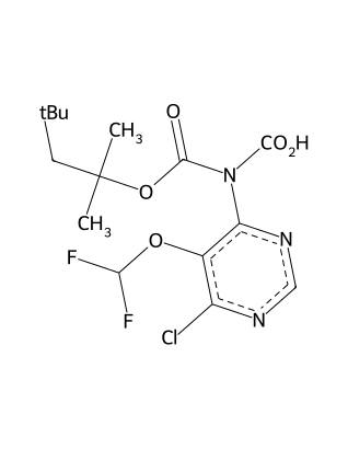 CC(C)(C)CC(C)(C)OC(=O)N(C(=O)O)c1ncnc(Cl)c1OC(F)F